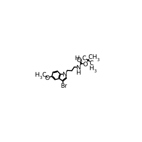 COc1ccc2c(c1)c(Br)cn2CCCNC(=O)OC(C)(C)C